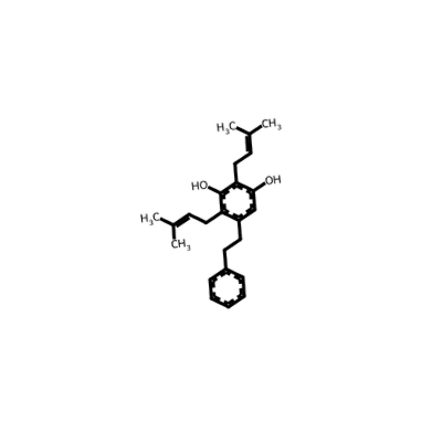 CC(C)=CCc1c(O)cc(CCc2ccccc2)c(CC=C(C)C)c1O